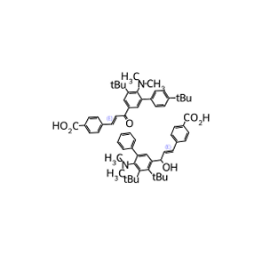 CN(C)c1c(-c2ccc(C(C)(C)C)cc2)cc(C(=O)/C=C/c2ccc(C(=O)O)cc2)cc1C(C)(C)C.CN(C)c1c(-c2ccccc2)cc(C(O)/C=C/c2ccc(C(=O)O)cc2)c(C(C)(C)C)c1C(C)(C)C